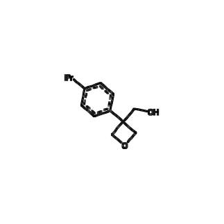 CC(C)c1ccc(C2(CO)COC2)cc1